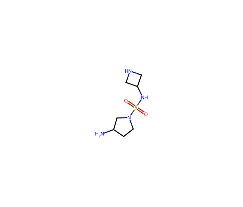 NC1CCN(S(=O)(=O)NC2CNC2)C1